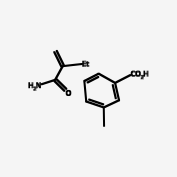 C=C(CC)C(N)=O.Cc1cccc(C(=O)O)c1